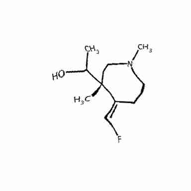 CC(O)[C@]1(C)CN(C)CC/C1=C\F